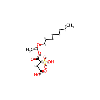 CCCCCCCCOC(C)OC(=O)C(CC(=O)O)S(=O)(=O)O